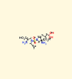 NC(CN(CC1CC1)S(=O)(=O)N1C[C@H](CCCB(O)O)[C@](N)(C(=O)O)C1)C(=O)O